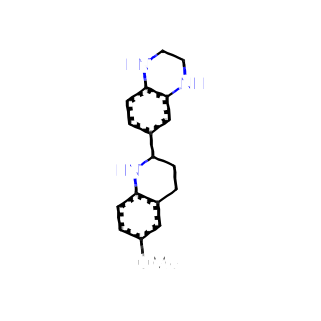 COc1ccc2c(c1)CCC(c1ccc3c(c1)NCCN3)N2